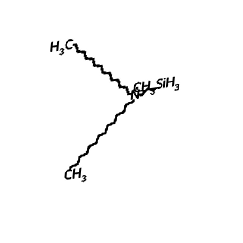 CCCCCCCCCCCCCCC[N+](C)(CCC[SiH3])CCCCCCCCCCCCCCC